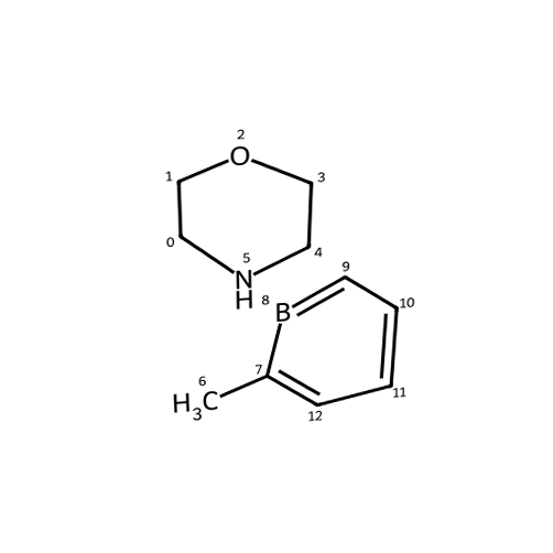 C1COCCN1.Cc1bcccc1